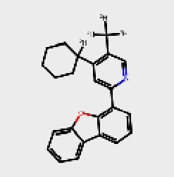 [2H]C([2H])([2H])c1cnc(-c2cccc3c2oc2ccccc23)cc1C1([2H])CCCCC1